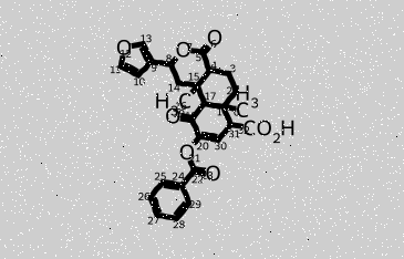 CC12CCC3C(=O)OC(c4ccoc4)CC3(C)C1C(=O)C(OC(=O)c1ccccc1)=CC2C(=O)O